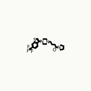 O=C(CCCN1CCN(c2csc3cc(C(F)(F)F)ccc23)CC1)N1CCCC1